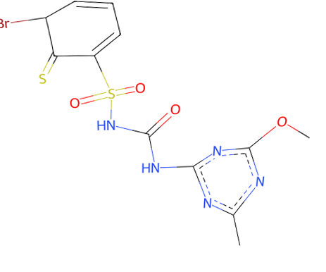 COc1nc(C)nc(NC(=O)NS(=O)(=O)C2=CC=CC(Br)C2=S)n1